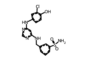 NS(=O)(=O)c1cccc(CNc2cc(Nc3ccc(O)c(Cl)c3)ncn2)c1